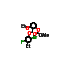 CCOc1cccc(OC(=O)OC)c1COc1cc(F)c(CC)cc1Br